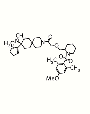 COc1cc(C)c(S(=O)(=O)N2CCCCC2COCC(=O)N2CCC3(CC2)CCC(C2=CCCS2)(N(C)C)CC3)c(C)c1